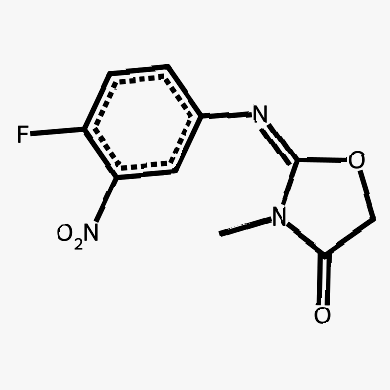 CN1C(=O)COC1=Nc1ccc(F)c([N+](=O)[O-])c1